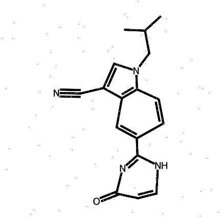 CC(C)Cn1cc(C#N)c2cc(-c3nc(=O)cc[nH]3)ccc21